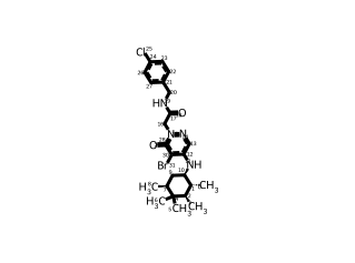 C[C@@H]1[C@@H](C)C(C)(C)[C@@H](C)C[C@H]1Nc1cnn(CC(=O)NCc2ccc(Cl)cc2)c(=O)c1Br